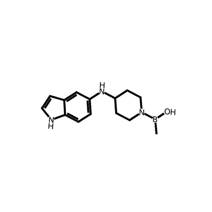 CB(O)N1CCC(Nc2ccc3[nH]ccc3c2)CC1